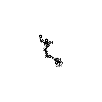 O=C(COc1cccc([C@](O)(C(=O)OCC2CCN(Cc3ccccc3)CC2)c2ccccc2)c1)N1CC2(C1)CN(C(=O)c1ccc(CCNC[C@H](O)c3ccc(O)c4[nH]c(=O)ccc34)cc1)C2